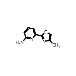 Cc1coc(-c2cccc(N)n2)n1